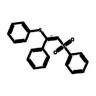 O=S(=O)(/C=C(/Sc1ccccc1)c1ccccc1)c1ccccc1